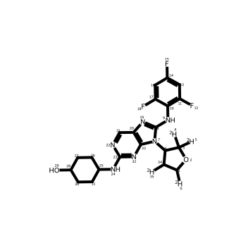 [2H]C1OC([2H])([2H])C(n2c(Nc3c(F)cc(F)cc3F)nc3cnc(NC4CCC(O)CC4)nc32)C1[2H]